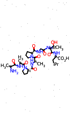 CC(C)C[C@H](NC(=O)[C@@H](NC(=O)CNC(=O)[C@@H]1CCCN1C(=O)[C@H](C)NC(=O)[C@@H]1CCCN1C(=O)[C@H](C)NC(=O)[C@H](C)N)[C@@H](C)O)C(=O)O